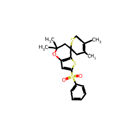 CC1=C(C)CC2(CC(C)(C)Oc3cc(S(=O)(=O)c4ccccc4)sc32)SC1